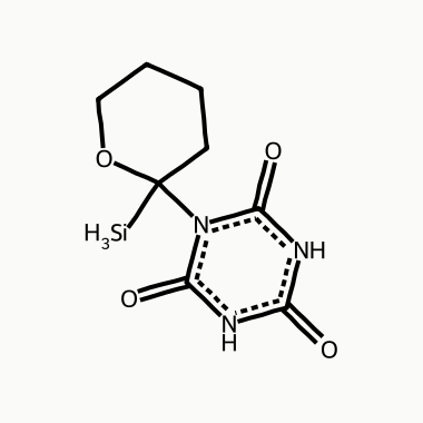 O=c1[nH]c(=O)n(C2([SiH3])CCCCO2)c(=O)[nH]1